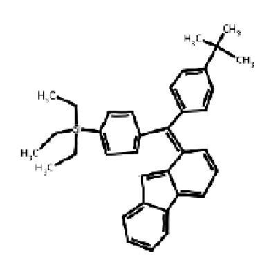 CC[Si](CC)(CC)c1ccc(C(c2ccc(C(C)(C)C)cc2)=c2cccc3c2=[C]c2ccccc2-3)cc1